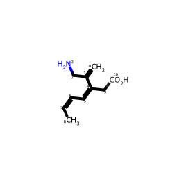 C=C(CN)/C(=C\C=C/C)CC(=O)O